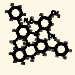 Cc1cc(C)c(B2c3cc(-c4ccccc4)cc4c3N3c5c(cccc5Sc5cc(-c6ccccc6)cc2c53)S4)c(C)c1